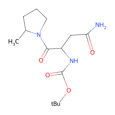 CC1CCCN1C(=O)C(CC(N)=O)NC(=O)OC(C)(C)C